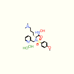 COc1ccc(S(=O)(=O)N(Cc2ccccn2)[C@H](CCCCN(C)C)C(=O)NO)cc1.Cl.Cl